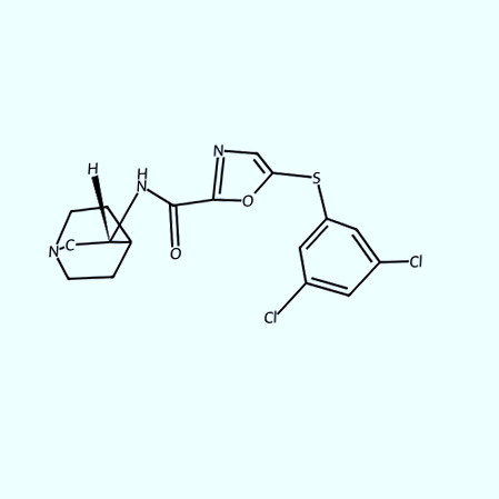 O=C(N[C@H]1CN2CCC1CC2)c1ncc(Sc2cc(Cl)cc(Cl)c2)o1